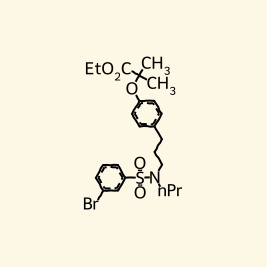 CCCN(CCCc1ccc(OC(C)(C)C(=O)OCC)cc1)S(=O)(=O)c1cccc(Br)c1